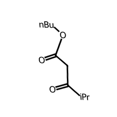 CCCCOC(=O)CC(=O)C(C)C